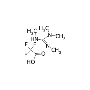 CN=C(NC)N(C)C.O=C(O)C(F)(F)F